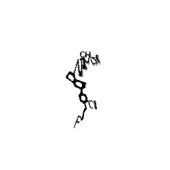 CC1(O)CN(C2CCc3cc(-c4ccc(CCCF)c(Cl)c4)ccc32)C1